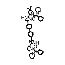 O=C([C@@H](c1ccccc1)N1CCCCC1)N1CCC[C@H]1c1nc(-c2ccc(-c3ccc(-c4c[nH]c([C@@H]5CC(F)(F)CN5C(=O)[C@@H](c5ccccc5)N5CCCCC5)n4)cc3)cc2)c[nH]1